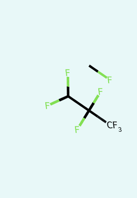 CF.FC(F)C(F)(F)C(F)(F)F